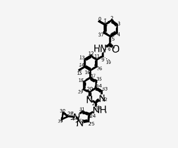 Cc1cccc(C(=O)N[C@H](C)c2ccc(C)c(-c3ccc4nc(Nc5cnn(C6CC6)c5)ncc4c3)c2)c1